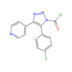 O=C(Cl)n1nnc(-c2ccncc2)c1-c1ccc(F)cc1